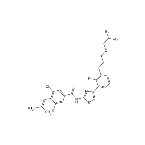 CCC(CC)COCCCc1cccc(-c2csc(NC(=O)c3cc(Cl)c(/C=C(\C)C(=O)O)c(Cl)c3)n2)c1F